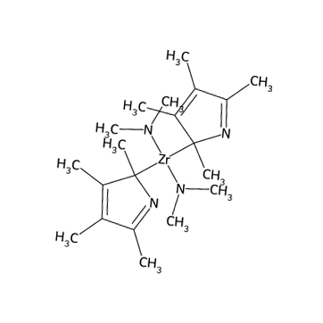 CC1=N[C](C)([Zr]([N](C)C)([N](C)C)[C]2(C)N=C(C)C(C)=C2C)C(C)=C1C